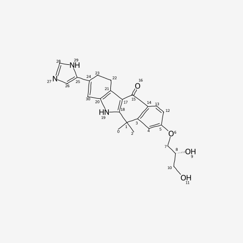 CC1(C)c2cc(OC[C@H](O)CO)ccc2C(=O)c2c1[nH]c1c2CCC(c2cnc[nH]2)=C1